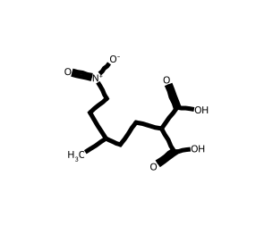 CC(CCC(C(=O)O)C(=O)O)CC[N+](=O)[O-]